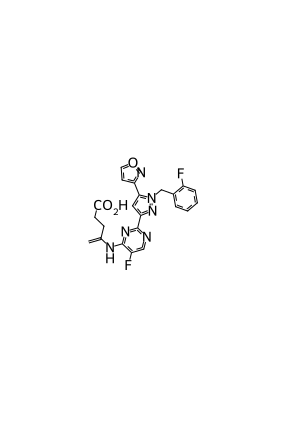 C=C(CCC(=O)O)Nc1nc(-c2cc(-c3ccon3)n(Cc3ccccc3F)n2)ncc1F